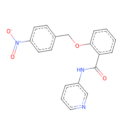 O=C(Nc1cccnc1)c1ccccc1OCc1ccc([N+](=O)[O-])cc1